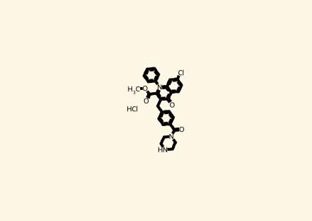 COC(=O)c1c(Cc2ccc(C(=O)N3CCNCC3)cc2)c(=O)c2ccc(Cl)cc2n1-c1ccccc1.Cl